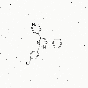 Clc1ccc(-c2nc(-c3ccccc3)cc(-c3ccncc3)n2)cc1